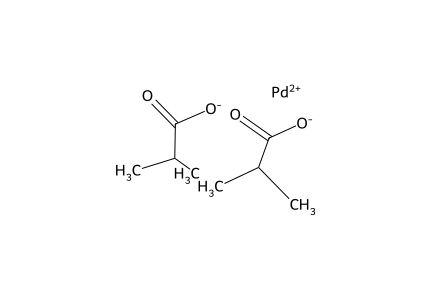 CC(C)C(=O)[O-].CC(C)C(=O)[O-].[Pd+2]